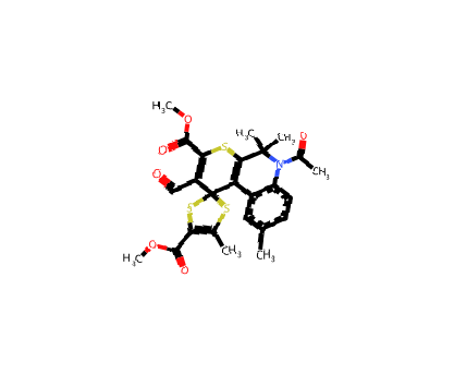 COC(=O)C1=C(C)SC2(S1)C(C=O)=C(C(=O)OC)SC1=C2c2cc(C)ccc2N(C(C)=O)C1(C)C